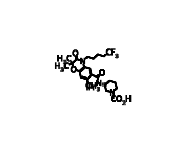 Cc1cc2c(cc1C(=O)N(C(C)C)[C@@H]1CCCN(C(=O)O)C1)N(CCCCC(F)(F)F)C(=O)C(C)(C)O2